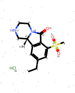 CCc1cc2c(c(S(C)(=O)=O)c1)C(=O)N1CCNC[C@@H]21.Cl